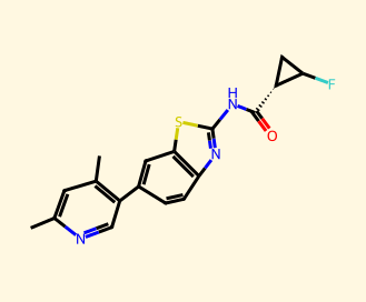 Cc1cc(C)c(-c2ccc3nc(NC(=O)[C@@H]4CC4F)sc3c2)cn1